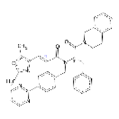 Cc1nc(/C=C/C(=O)N(Cc2ccc(-c3ncccn3)cc2)[C@@H](Cc2ccccc2)C(=O)N2CCc3ccccc3C2)c(C)o1